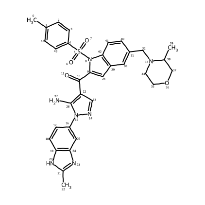 Cc1ccc(S(=O)(=O)n2c(C(=O)c3cnn(-c4ccc5[nH]c(C)nc5c4)c3N)cc3cc(CN4CCOCC4C)ccc32)cc1